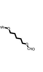 CCCOCCCCCOC=O